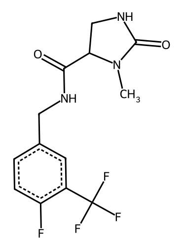 CN1C(=O)NCC1C(=O)NCc1ccc(F)c(C(F)(F)F)c1